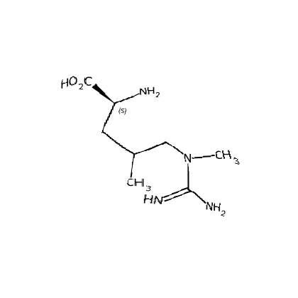 CC(C[C@H](N)C(=O)O)CN(C)C(=N)N